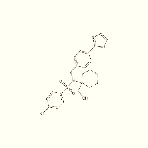 O=S(=O)(c1ccc(Cl)cc1)N(Cc1ccc(-c2ncco2)cc1)C1(CO)CCCCC1